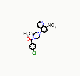 C[C@@H]1CN(c2ccc([N+](=O)[O-])c3ncccc23)CCN1C(=O)c1ccc(Cl)cc1